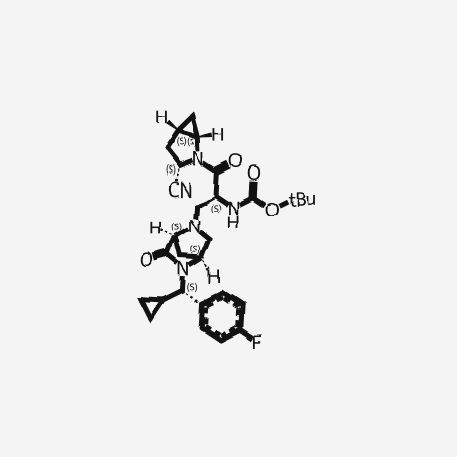 CC(C)(C)OC(=O)N[C@@H](CN1C[C@@H]2C[C@H]1C(=O)N2[C@H](c1ccc(F)cc1)C1CC1)C(=O)N1[C@H](C#N)C[C@@H]2C[C@@H]21